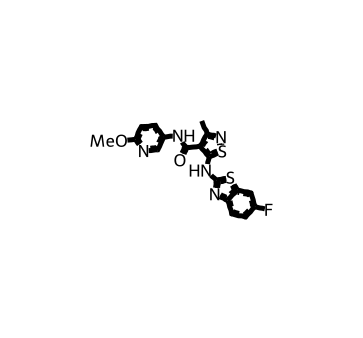 COc1ccc(NC(=O)c2c(C)nsc2Nc2nc3ccc(F)cc3s2)cn1